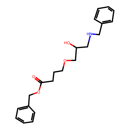 O=C(CCCOCC(O)CNCc1ccccc1)OCc1ccccc1